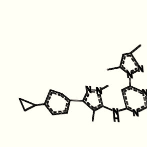 Cc1cc(C)n(-c2cc(Nc3c(C)c(-c4ccc(C5CC5)cc4)nn3C)ncn2)n1